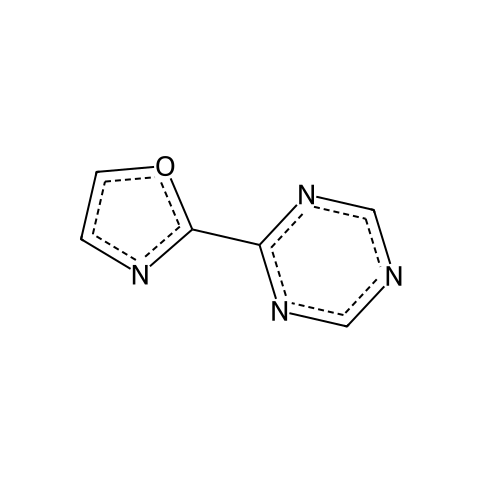 c1ncnc(-c2ncco2)n1